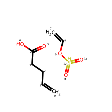 C=CCCC(=O)O.C=CO[SH](=O)=O